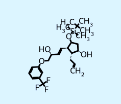 C=CC[C@H]1[C@@H](O)CC(O[Si](C)(C)C(C)(C)C)[C@@H]1/C=C/[C@@H](O)COc1cccc(C(F)(F)F)c1